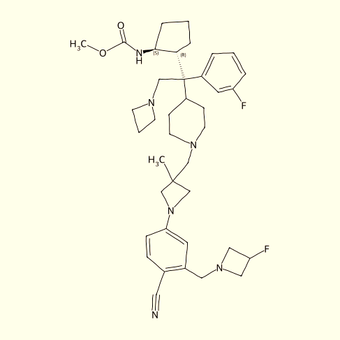 COC(=O)N[C@H]1CCC[C@@H]1C(CN1CCC1)(c1cccc(F)c1)C1CCN(CC2(C)CN(c3ccc(C#N)c(CN4CC(F)C4)c3)C2)CC1